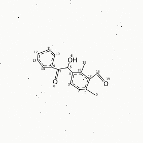 Cc1ccc(C(O)C(=O)c2ccccc2)c(C)c1C=O